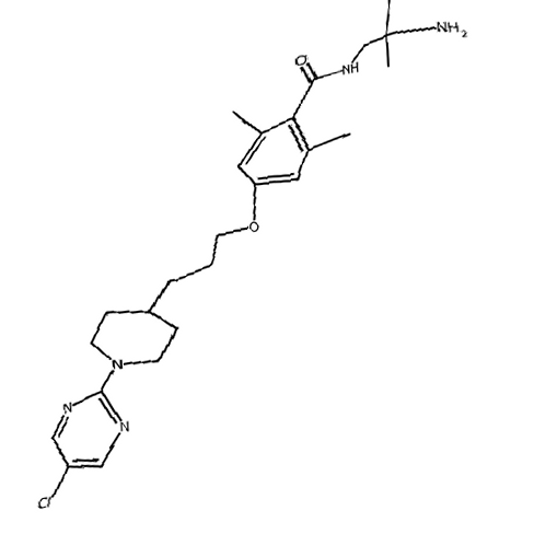 Cc1cc(OCCCC2CCN(c3ncc(Cl)cn3)CC2)cc(C)c1C(=O)NCC(C)(C)N